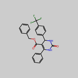 O=C1NC(c2ccccc2)=C(C(=O)OCc2ccccc2)C(c2ccc(C(F)(F)F)cc2)N1